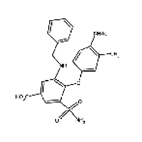 CC(=O)Nc1ccc(Oc2c(NCc3ccccc3)cc(C(=O)O)cc2S(N)(=O)=O)cc1C